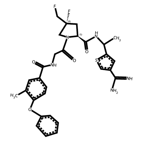 Cc1cc(C(=O)NCC(=O)N2C[C@@](F)(CF)C[C@H]2C(=O)NC(C)c2cc(C(=N)N)cs2)ccc1Oc1ccccc1